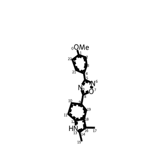 COc1ccc(-c2noc(-c3ccc4[nH]c(C)c(C)c4c3)n2)cc1